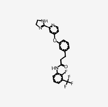 O=C(CCc1cccc(Oc2ccnc(C3=NCCN3)c2)c1)Nc1cccc(C(F)(F)F)c1F